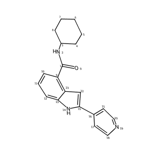 O=C(NC1CCCCC1)c1cccc2[nH]c(-c3ccncc3)cc12